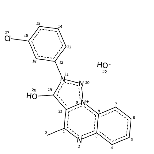 Cc1nc2ccccc2[n+]2nn(-c3cccc(Cl)c3)c(O)c12.[OH-]